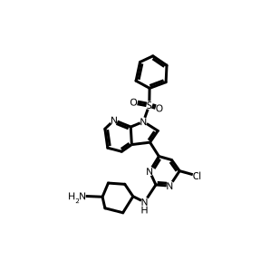 NC1CCC(Nc2nc(Cl)cc(-c3cn(S(=O)(=O)c4ccccc4)c4ncccc34)n2)CC1